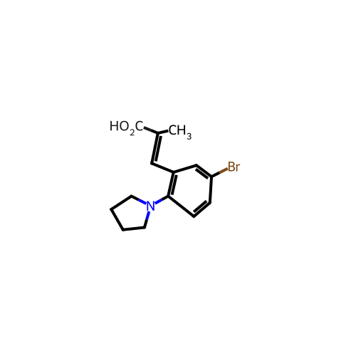 CC(=Cc1cc(Br)ccc1N1CCCC1)C(=O)O